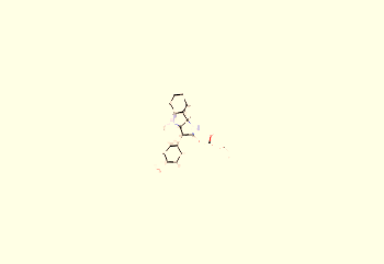 CCOC(=O)Oc1[nH]c2c3ccccc3n(C)c2c1-c1ccc(OC)cc1